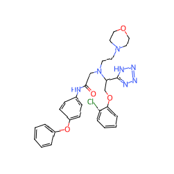 O=C(CN(CCN1CCOCC1)C(COc1ccccc1Cl)c1nnn[nH]1)Nc1ccc(Oc2ccccc2)cc1